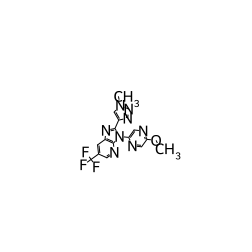 COc1cnc(-n2c(-c3cn(C)nn3)nc3cc(C(F)(F)F)cnc32)cn1